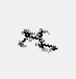 CCn1nc(C)c(CCCCCn2nc(C)cc2C(=O)O)c1C(=O)/N=c1\sc2cc(C(N)=O)cnc2n1CCCCNc1c(N)cc(C(N)=O)cc1OCCCO[Si](C)(C)C(C)(C)C